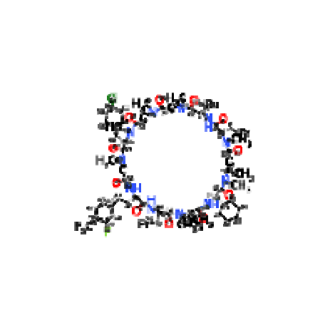 CC[C@H](C)[C@@H]1NC(=O)[C@H](CC(C)C)N(C)C(=O)C[C@@H](C)N(C)C(=O)[C@H](C2CCCCC2)NC(=O)C(C)(C)N(C)C(=O)[C@H](CC(C)C)NC(=O)[C@H](CCc2ccc(C(F)(F)F)c(F)c2)NC(=O)CN(C)C(=O)[C@H](Cc2ccc(Cl)cc2)N(C)C(=O)CN(C)C(=O)CN(C)C1=O